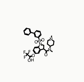 CN1CCC(N(C)C(=O)C2CN(S(=O)(=O)c3cccc(-c4ccccc4)c3)c3ccccc32)CC1.O=C(O)C(F)(F)F